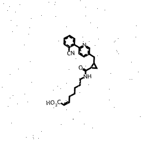 N#Cc1ccccc1-c1ccc(CC2CC2C(=O)NCCCCC/C=C\C(=O)O)cn1